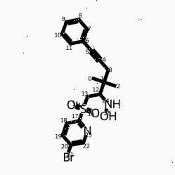 CC(C)(CC#Cc1ccccc1)C(CS(=O)(=O)c1ccc(Br)cn1)NO